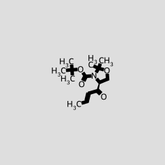 C/C=C/C(=O)[C@@H]1COC(C)(C)N1C(=O)OC(C)(C)C